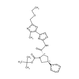 CCOCc1nc(C)c(-c2csc(NC(=O)[C@@H]3C[C@@H](c4ccccc4)CN3C(=O)OC(C)(C)C)n2)s1